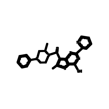 Cc1sc2c(O)nc(-c3ccccn3)nc2c1C(=O)N1CCN(c2ccccc2)CC1C